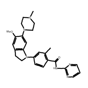 COc1cc2c(cc1N1CCN(C)CC1)N(c1ccc(C(=O)Nc3ncccn3)c(C)c1)CC2